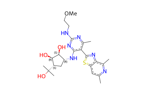 COCCNc1nc(C)c(-c2nc3c(C)nc(C)cc3s2)c(N[C@@H]2C[C@H](C(C)(C)O)[C@@H](O)[C@H]2O)n1